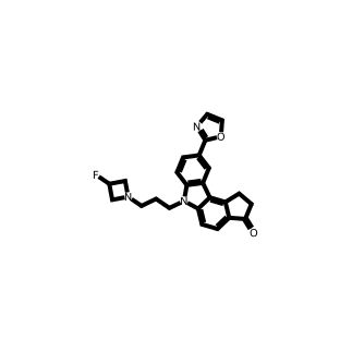 O=C1CCc2c1ccc1c2c2cc(-c3ncco3)ccc2n1CCCN1CC(F)C1